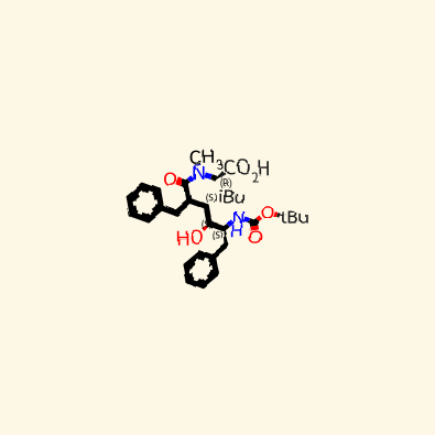 CC[C@H](C)[C@H](C(=O)O)N(C)C(=O)C(Cc1ccccc1)C[C@H](O)[C@H](Cc1ccccc1)NC(=O)OC(C)(C)C